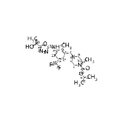 Cc1c(CN2CCN(C(=O)OC(C)C)[C@@H](C)C2)cc(C(F)F)cc1Nc1nnc([C@H](C)O)o1